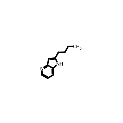 [CH2]CCCc1cc2ncccc2[nH]1